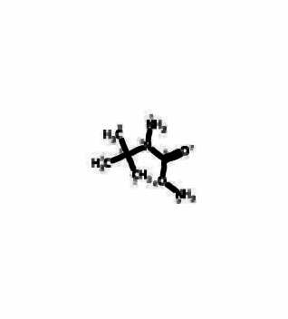 CC(C)(C)N(N)C(=O)ON